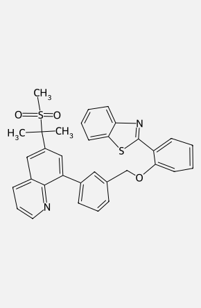 CC(C)(c1cc(-c2cccc(COc3ccccc3-c3nc4ccccc4s3)c2)c2ncccc2c1)S(C)(=O)=O